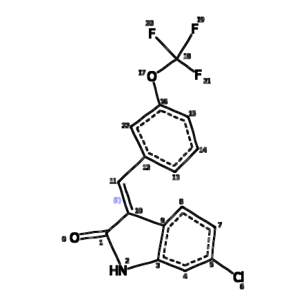 O=C1Nc2cc(Cl)ccc2/C1=C\c1cccc(OC(F)(F)F)c1